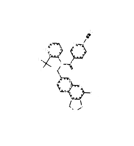 N#Cc1ccc(C(=O)N(Cc2ccc3c4c(c(N)nc3c2)COC4)c2cccnc2C(F)(F)F)cn1